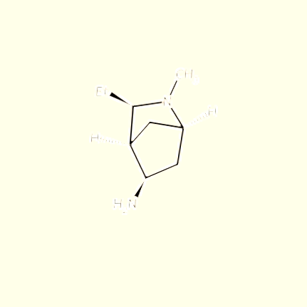 CC[C@@H]1[C@H]2C[C@H](C[C@H]2N)N1C